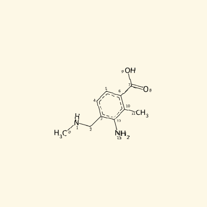 CNCc1ccc(C(=O)O)c(C)c1N